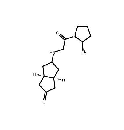 N#C[C@@H]1CCCN1C(=O)CNC1C[C@H]2CC(=O)C[C@H]2C1